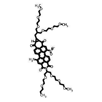 CCCOCCOCC(COCCOCCOC)N1C(=O)c2ccc3c4c([N+](=O)[O-])cc5c6c(ccc(c7c(N)cc(c2c37)C1=O)c64)C(=O)[C@@H]1C(CC(COCCOCCOC)COCCOCCOC)C1C5=O